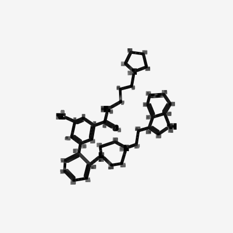 N#Cc1cc(C(=O)NCCCN2CCCC2)cc(-c2ccccc2N2CCN(CCc3c[nH]c4ccccc34)CC2)c1